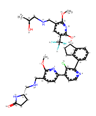 COc1nc(-c2ccnc(-c3cccc4c3CC[C@@H]4Oc3nc(OC)c(CNCC(C)O)cc3C(F)(F)F)c2Cl)ccc1CNC[C@@H]1CCC(=O)N1